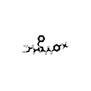 CC(CO)NC(=O)c1nc(NC(=O)Nc2ccc(OC(F)(F)F)cc2)cn1Cc1ccccc1